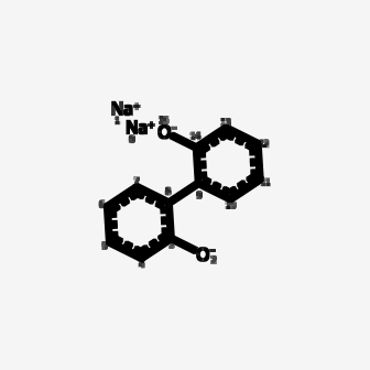 [Na+].[Na+].[O-]c1ccccc1-c1ccccc1[O-]